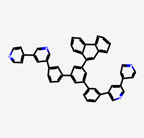 c1cc(-c2cncc(-c3ccncc3)c2)cc(-c2cc(-c3cccc(-c4cncc(-c5ccncc5)c4)c3)cc(-c3cc4ccccc4c4ccccc34)c2)c1